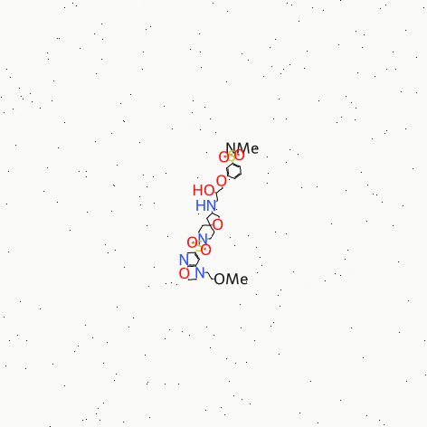 CNS(=O)(=O)c1cccc(OCC(O)CN[C@H]2COC3(CCN(S(=O)(=O)c4cnc5c(c4)N(CCOC)CCO5)CC3)C2)c1